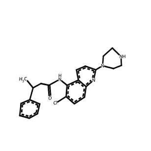 CC(CC(=O)Nc1c(Cl)ccc2nc(N3CCNCC3)ccc12)c1ccccc1